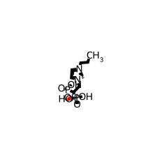 CCCn1cc[n+](CC(P(=O)(O)O)P(=O)(O)O)c1